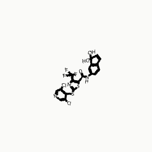 O=C(Nc1ccc2c(c1)C(O)(O)C=C2)c1sc(Sc2c(Cl)cncc2Cl)nc1C(F)(F)F